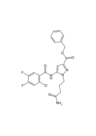 NC(=O)CCCn1nc(C(=O)OCc2ccccc2)cc1NC(=O)c1cc(F)c(F)cc1Cl